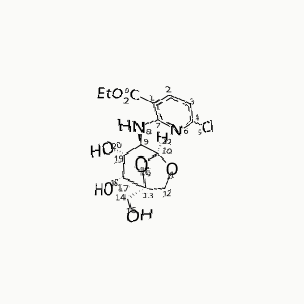 CCOC(=O)c1ccc(Cl)nc1N[C@H]1[C@H]2OC[C@](CO)(O2)[C@H](O)[C@@H]1O